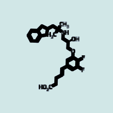 CC(C)(CC1Cc2ccccc2C1)NC[C@H](O)COc1cc(/C=C/CCC(=O)O)cc(F)c1F